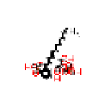 CCCCCCCCCCCCc1ccccc1S(=O)(=O)O.O=S(O)O.OCC(O)CO